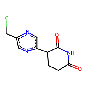 O=C1CCC(c2cnc(CCl)cn2)C(=O)N1